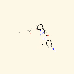 CCOCC(O)COc1cccc2cc(C(=O)Nc3ccc(C#N)cc3C(=O)O)n(C)c12